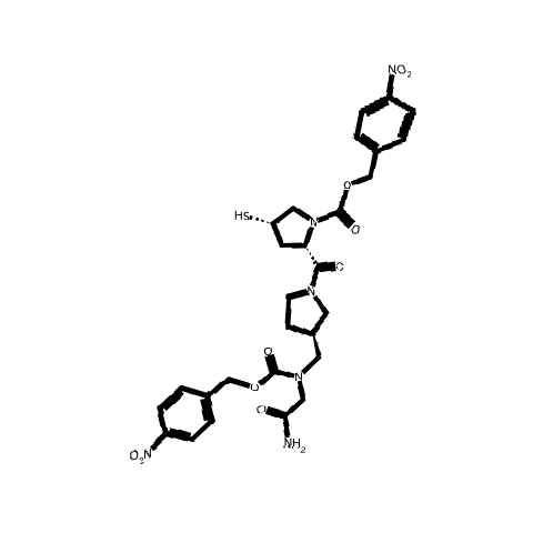 NC(=O)CN(C[C@H]1CCN(C(=O)[C@@H]2C[C@H](S)CN2C(=O)OCc2ccc([N+](=O)[O-])cc2)C1)C(=O)OCc1ccc([N+](=O)[O-])cc1